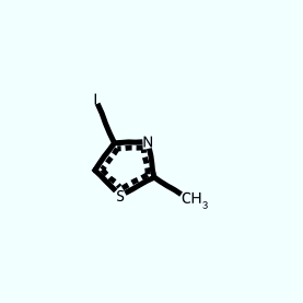 Cc1nc(I)cs1